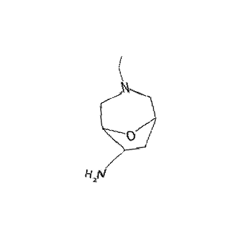 CN1CC2CC(N)C(C1)O2